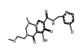 COCCN1CN(C)n2cc(C(=O)NCc3cc(Cl)ccn3)c(=O)c(O)c2C1=O